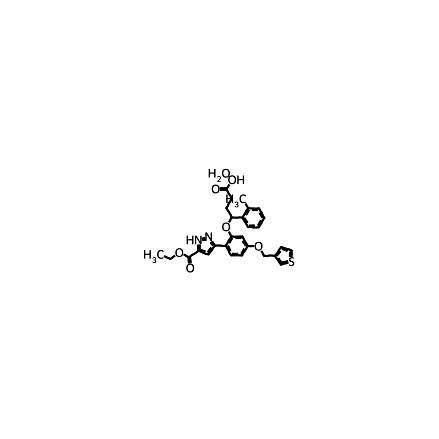 CCOC(=O)c1cc(-c2ccc(OCc3ccsc3)cc2OC(CCC(=O)O)c2ccccc2C)n[nH]1.O